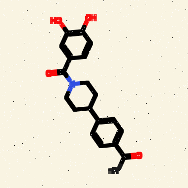 CCCC(=O)c1ccc(C2CCN(C(=O)c3ccc(O)c(O)c3)CC2)cc1